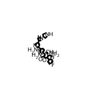 Cn1c(C(N)=O)c(-c2ccc(F)cc2)c(=O)c(C(N)=O)c1-c1ccc(-c2cc(-c3cnn(C4CCNCC4)c3)cnc2N)nn1